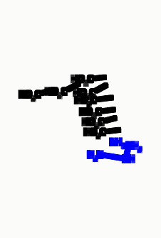 CC(=O)O.CC(=O)O.CC(=O)O.CC(=O)O.CC(=O)O.CC(=O)O.CC(=O)O.CC(=O)O.N.NNN